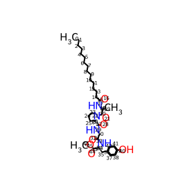 CCCCCCCCCCCCCCCC(=O)N[C@@H](C)C(=O)N1CCC[C@H]1C(=O)NCC(=O)N[C@@H](Cc1ccc(O)cc1)C(=O)OC